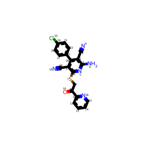 N#Cc1c(N)nc(SCC(=O)c2ccccn2)c(C#N)c1-c1ccc(Cl)cc1